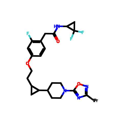 CC(C)c1noc(N2CCC(C3CC3CCOc3ccc(CC(=O)NC4CC4(F)F)c(F)c3)CC2)n1